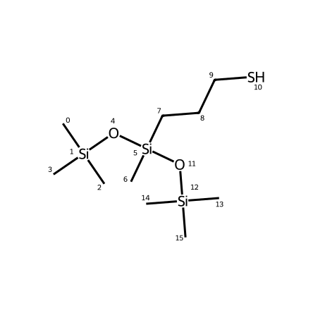 C[Si](C)(C)O[Si](C)(CCCS)O[Si](C)(C)C